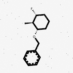 C[C@H]1[C@H](F)CCC[C@@H]1OCc1ccccc1